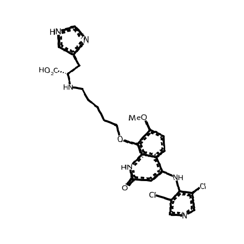 COc1ccc2c(Nc3c(Cl)cncc3Cl)cc(=O)[nH]c2c1OCCCCCN[C@@H](Cc1c[nH]cn1)C(=O)O